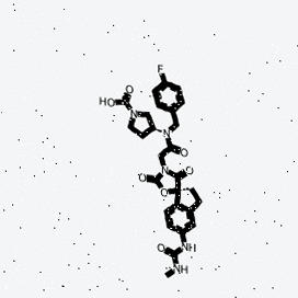 CNC(=O)Nc1ccc2c(c1)CC[C@@]21OC(=O)N(CC(=O)N(Cc2ccc(F)cc2)[C@@H]2CCN(C(=O)O)C2)C1=O